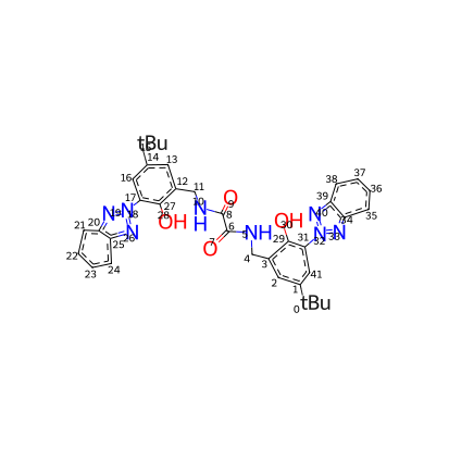 CC(C)(C)c1cc(CNC(=O)C(=O)NCc2cc(C(C)(C)C)cc(-n3nc4ccccc4n3)c2O)c(O)c(-n2nc3ccccc3n2)c1